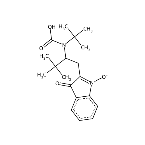 CC(C)(C)C(CC1=[N+]([O-])c2ccccc2C1=O)N(C(=O)O)C(C)(C)C